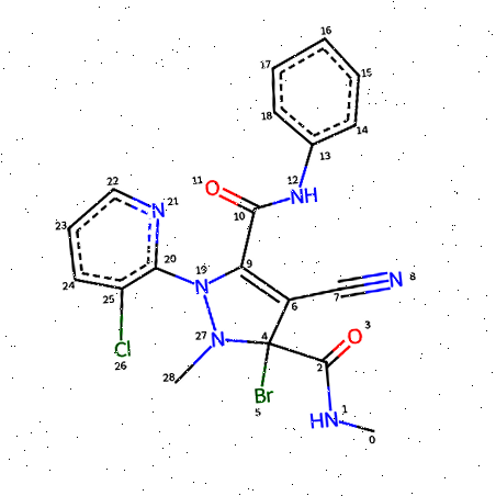 CNC(=O)C1(Br)C(C#N)=C(C(=O)Nc2ccccc2)N(c2ncccc2Cl)N1C